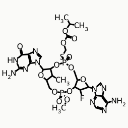 COP1(=O)OCC2OC(n3cnc4c(=O)[nH]c(N)nc43)C(OP(=O)(SCOC(=O)OC(C)C)OCC3OC(n4cnc5c(N)ncnc54)C(F)C3O1)C2C